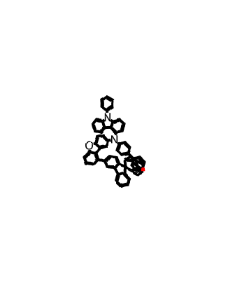 c1ccc(-c2ccc(N(c3ccc4oc5cccc(-c6ccc7c(c6)-c6ccccc6C76C7CC8CC(C7)CC6C8)c5c4c3)c3cccc4c3c3ccccc3n4-c3ccccc3)cc2)cc1